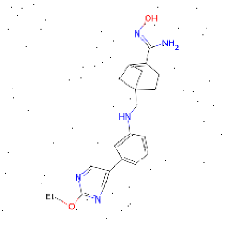 CCOc1ncc(-c2cccc(NCC34CCC(/C(N)=N/O)=C(C3)C4)c2)cn1